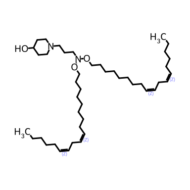 CCCCC/C=C\C/C=C\CCCCCCCCON(CCCN1CCC(O)CC1)OCCCCCCCC/C=C\C/C=C\CCCCC